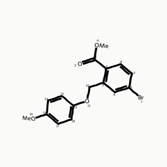 COC(=O)c1ccc(Br)cc1COc1ccc(OC)cc1